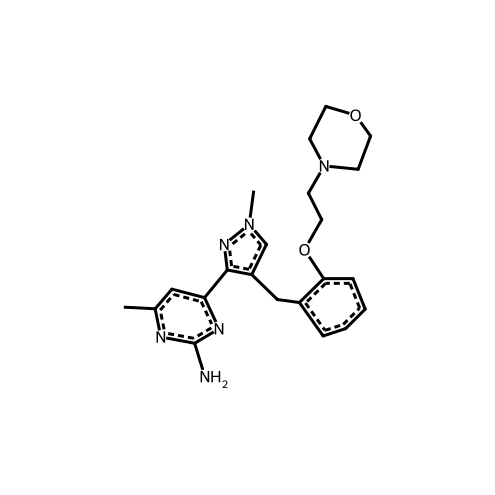 Cc1cc(-c2nn(C)cc2Cc2ccccc2OCCN2CCOCC2)nc(N)n1